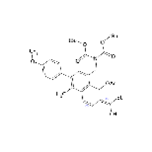 CC/C(C)=C/C=C\c1c(C)c(-c2ccc(OC(F)(F)F)cc2)cc(CN(C(=O)OC(C)(C)C)C(=O)OC(C)(C)C)c1COC(C)=O